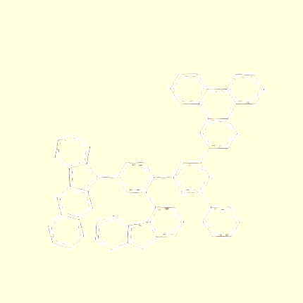 c1ccc(-c2nc(-c3ccc4c5ccccc5c5ccccc5c4c3)nc(-c3ccc(-n4c5ccccc5c5cc6ccccc6cc54)cc3-c3cccc4oc5ccccc5c34)n2)cc1